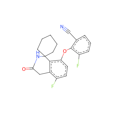 N#Cc1cccc(F)c1Oc1ccc(F)c2c1C1(CCCCC1)NC(=O)C2